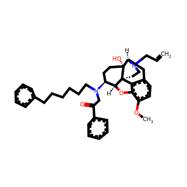 C=CCN1CC[C@]23c4c5ccc(OC)c4O[C@H]2[C@@H](N(CCCCCCc2ccccc2)CC(=O)c2ccccc2)CC[C@@]3(O)[C@H]1C5